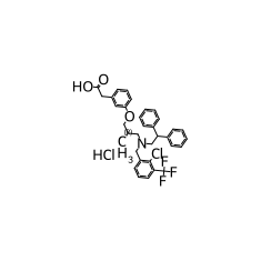 C[C@@H](COc1cccc(CC(=O)O)c1)CN(Cc1cccc(C(F)(F)F)c1Cl)CC(c1ccccc1)c1ccccc1.Cl